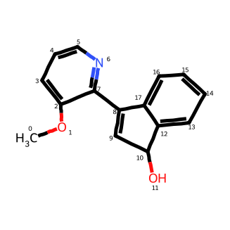 COc1cccnc1C1=CC(O)c2ccccc21